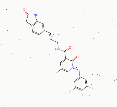 O=C1Cc2ccc(/C=C/CNC(=O)c3cc(I)cn(Cc4cc(F)c(F)c(F)c4)c3=O)cc2N1